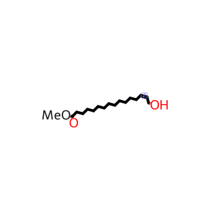 COC(=O)CCCCCCCCCCCC/C=C\CO